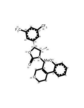 COc1ccccc1C1=C(CN2C(=O)O[C@H](c3cc(C(F)(F)F)cc(C(F)(F)F)c3)[C@@H]2C)COCC1